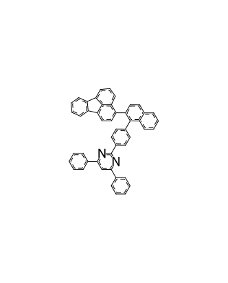 c1ccc(-c2cc(-c3ccccc3)nc(-c3ccc(-c4c(-c5ccc6c7c(cccc57)-c5ccccc5-6)ccc5ccccc45)cc3)n2)cc1